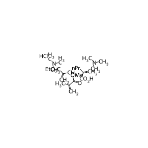 C=C(C)C(=O)OC.C=C(C)C(=O)OCC.C=C(CCC)C(=O)O.CN(C)C.CN(C)C.Cl